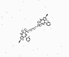 C#Cc1cc2c(s1)C(c1ccccc1C)=NC(OOCCOCOCOC(=O)C1N=C(c3ccccc3C)c3sc(C#C)cc3N(C)C1=O)C(=O)N2C